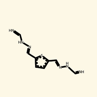 N=CN/N=C/c1ccc(/C=N/NC=N)s1